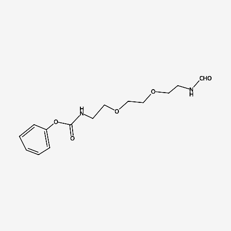 O=CNCCOCCOCCNC(=O)Oc1ccccc1